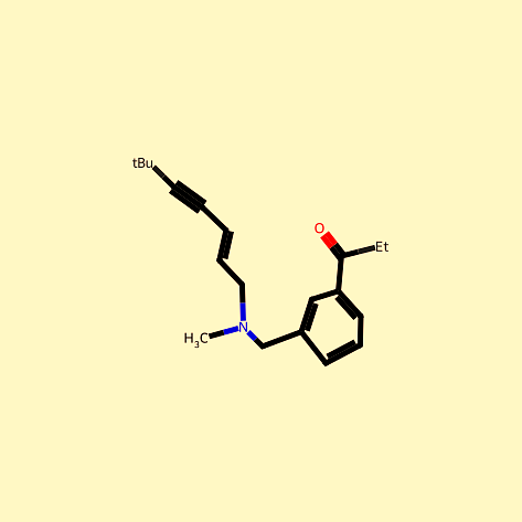 CCC(=O)c1cccc(CN(C)C/C=C/C#CC(C)(C)C)c1